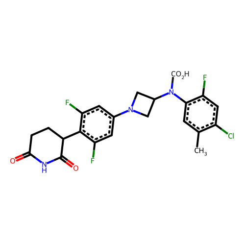 Cc1cc(N(C(=O)O)C2CN(c3cc(F)c(C4CCC(=O)NC4=O)c(F)c3)C2)c(F)cc1Cl